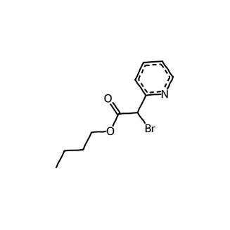 CCCCOC(=O)C(Br)c1ccccn1